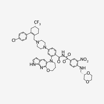 O=C(NS(=O)(=O)c1ccc(NC[C@H]2COCCO2)c([N+](=O)[O-])c1)c1ccc(N2CCN(CC3=C(c4ccc(Cl)cc4)C[C@H](C(F)(F)F)CC3)CC2)cc1N1CCCOc2nc3[nH]ccc3cc21